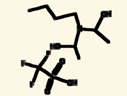 CCCCN(C(C)O)C(C)O.O=S(=O)(O)C(F)(F)F